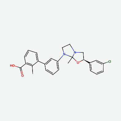 Cc1c(C(=O)O)cccc1-c1cccc(N2CCN3C[C@@H](c4cccc(Cl)c4)OC32C)c1